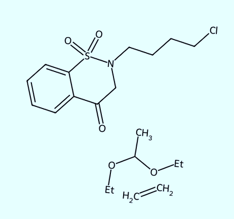 C=C.CCOC(C)OCC.O=C1CN(CCCCCl)S(=O)(=O)c2ccccc21